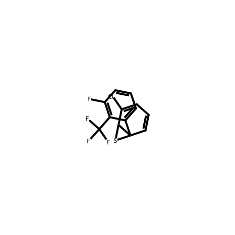 Fc1cccc(C23C=CC=C(Cl)C2S3)c1C(F)(F)F